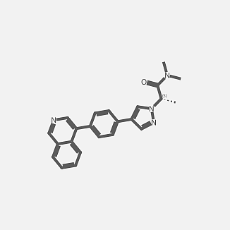 C[C@@H](C(=O)N(C)C)n1cc(-c2ccc(-c3cncc4ccccc34)cc2)cn1